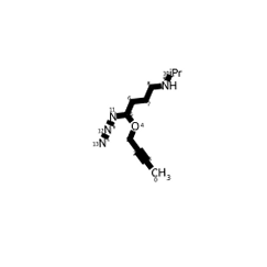 CC#CCOC(CCCNC(C)C)N=[N+]=[N-]